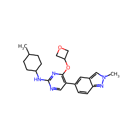 CC1CCC(Nc2ncc(-c3ccc4nn(C)cc4c3)c(OC3COC3)n2)CC1